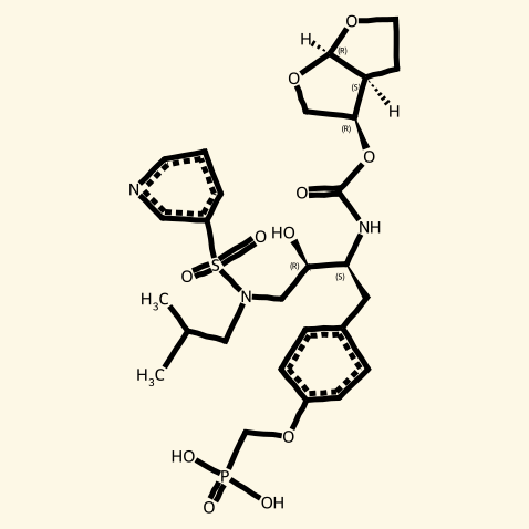 CC(C)CN(C[C@@H](O)[C@H](Cc1ccc(OCP(=O)(O)O)cc1)NC(=O)O[C@H]1CO[C@H]2OCC[C@H]21)S(=O)(=O)c1cccnc1